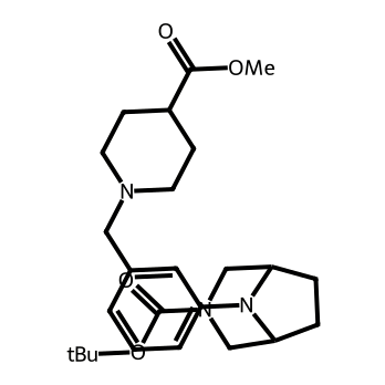 COC(=O)C1CCN(Cc2cccc(N3C4CCC3CN(C(=O)OC(C)(C)C)C4)c2)CC1